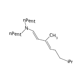 CCCCCN(/C=C/C(C)=C/CCC(C)C)CCCCC